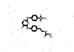 CCNC(=O)NCCc1ccc(Nc2nc(Nc3ccc(S(N)(=O)=O)cc3)ncc2F)cc1